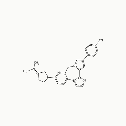 CN(C)[C@@H]1CCN(c2ccc3c(n2)Cn2cc(-c4ccc(C#N)cc4)cc2-c2nccn2-3)C1